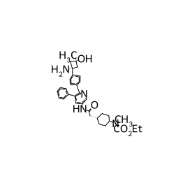 CCOC(=O)N(C)[C@H]1CC[C@H](CC(=O)Nc2cnc(-c3ccc([C@]4(N)C[C@](C)(O)C4)cc3)c(-c3ccccc3)c2)CC1